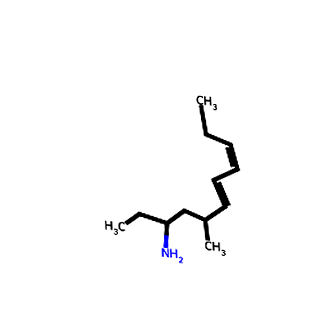 CC/C=C\C=C\C(C)CC(N)CC